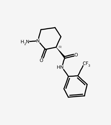 NN1CCC[C@@H](C(=O)Nc2ccccc2C(F)(F)F)C1=O